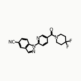 N#Cc1ccc2c(cnn2-c2ccc(C(=O)N3CCC(F)(F)CC3)cn2)c1